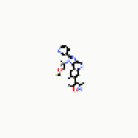 Cc1cc2c(cc1-c1c(C)noc1C)ncc1nc(-c3cccnc3)n([C@H](C)COC(F)F)c12